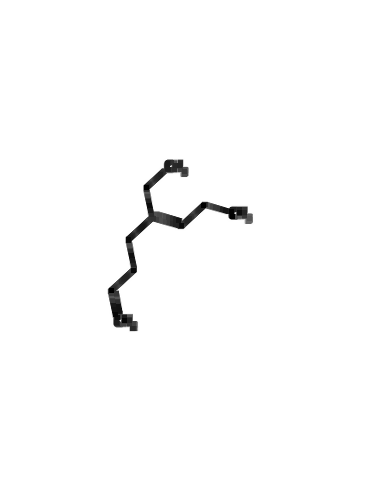 C=CCCC(=CCC)CC